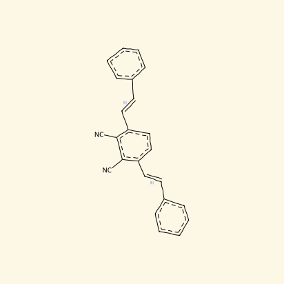 N#Cc1c(/C=C/c2ccccc2)ccc(/C=C/c2ccccc2)c1C#N